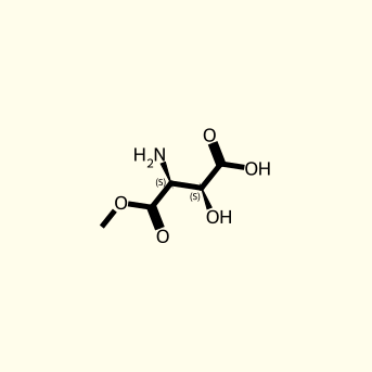 COC(=O)[C@@H](N)[C@H](O)C(=O)O